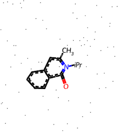 Cc1cc2ccccc2c(=O)n1C(C)C